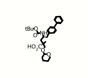 CC(C)(C)OC(=O)N[C@H](Cc1ccc(-c2ccccc2)cc1)C[C@@](C)(COC1CCCCO1)C(=O)O